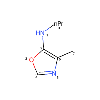 CCCNc1o[c]nc1C